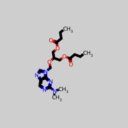 CCCC(=O)OCC(COC(=O)CCC)OCn1cnc2cnc(N(C)C)nc21